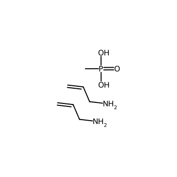 C=CCN.C=CCN.CP(=O)(O)O